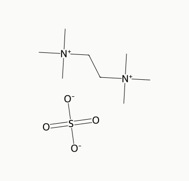 C[N+](C)(C)CC[N+](C)(C)C.O=S(=O)([O-])[O-]